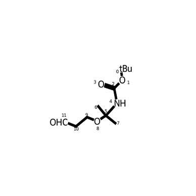 CC(C)(C)OC(=O)NC(C)(C)OCCC=O